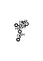 CC1(C)C[C@@H]2SCCCC(=O)N2[C@@H]1C(=O)N[C@H](C(=O)N[C@H]1CC[C@H](NC(=O)Cc2ccccc2)CC1)c1ccccc1